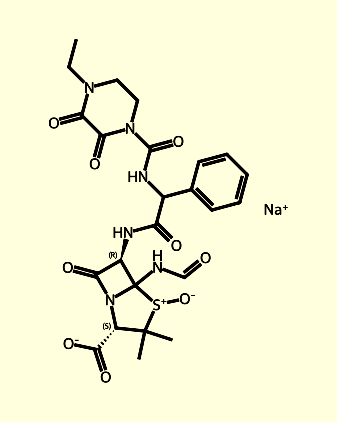 CCN1CCN(C(=O)NC(C(=O)N[C@@H]2C(=O)N3[C@@H](C(=O)[O-])C(C)(C)[S+]([O-])C23NC=O)c2ccccc2)C(=O)C1=O.[Na+]